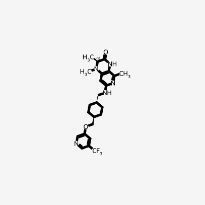 Cc1nc(NC[C@H]2CC[C@H](COc3cncc(C(F)(F)F)c3)CC2)cc2c1NC(=O)[C@H](C)N2C